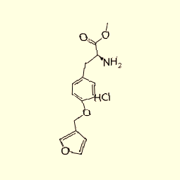 COC(=O)[C@@H](N)Cc1ccc(OCc2ccoc2)cc1.Cl